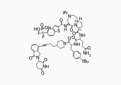 CC(C)N1CC[C@H]2CC[C@@H](C(=O)NC(CCC(N)=O)C(=O)NC(Cc3ccc(C(C)(C)C)cc3)C(=O)N3CCC(CCC#Cc4cccc5c4CN(C4CCC(=O)NC4=O)C5=O)CC3)N2C(=O)[C@@H](NC(=O)c2cc3cc(C(F)(F)P(=O)(O)O)ccc3s2)C1